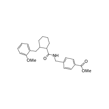 COC(=O)c1ccc(CNC(=O)C2CCCCC2Cc2ccccc2OC)cc1